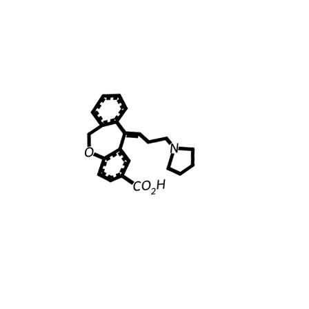 O=C(O)c1ccc2c(c1)C(=CCCN1CCCC1)c1ccccc1CO2